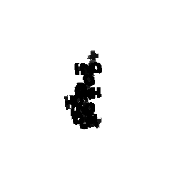 CC(C)(C)CCC(=O)NCCOCCC(=O)N[C@@H](CCC(=O)N[C@@H](CSCC(C)(C)C)C(=O)O)C(=O)O